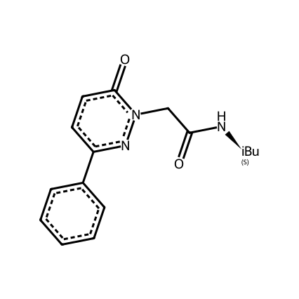 CC[C@H](C)NC(=O)Cn1nc(-c2ccccc2)ccc1=O